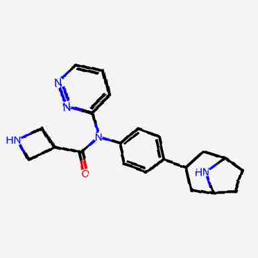 O=C(C1CNC1)N(c1ccc(C2CC3CCC(C2)N3)cc1)c1cccnn1